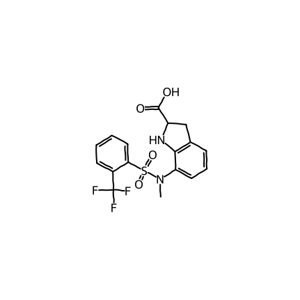 CN(c1cccc2c1NC(C(=O)O)C2)S(=O)(=O)c1ccccc1C(F)(F)F